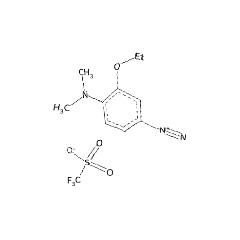 CCOc1cc([N+]#N)ccc1N(C)C.O=S(=O)([O-])C(F)(F)F